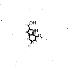 COc1cc(F)cc2cc(CO)[nH]c12